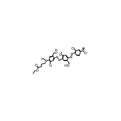 CCOC(=O)CCCN(CC)c1cc(CO)c(N=Nc2cc(CO)c(N=Nc3ccc([N+](=O)[O-])cc3Cl)cc2OC)cc1OC